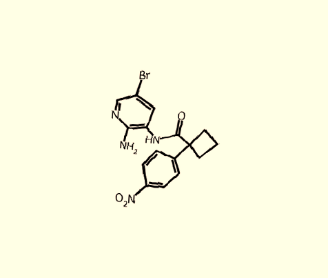 Nc1ncc(Br)cc1NC(=O)C1(c2ccc([N+](=O)[O-])cc2)CCC1